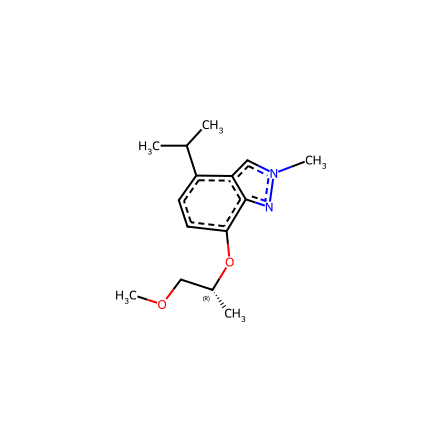 COC[C@@H](C)Oc1ccc(C(C)C)c2cn(C)nc12